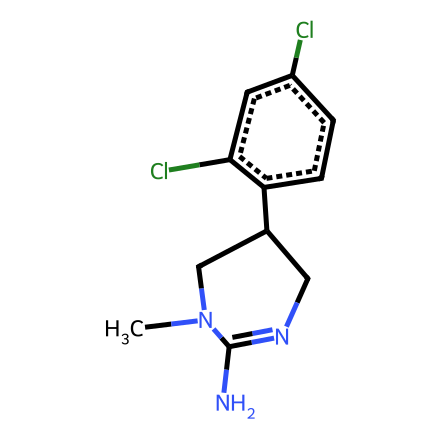 CN1CC(c2ccc(Cl)cc2Cl)CN=C1N